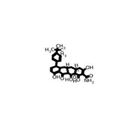 CC(C)(C)c1ccc(C2C=CC(O)=C3C(=O)C4C(O)[C@]5(O)C(=O)C(C(N)=O)=C(O)C[C@@H]5C[C@@H]4CC32)cc1